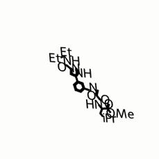 CCC(CC)NC(=O)c1cc(-c2cccc(-c3ncc(C(=O)NC(CC(C)C)C(=O)OC)o3)c2)[nH]n1